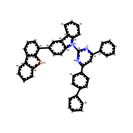 c1ccc(-c2ccc(-c3cc(-c4ccccc4)nc(-n4c5ccccc5c5cc(-c6cccc7c6sc6ccccc67)ccc54)n3)cc2)cc1